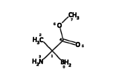 BC(C)(N)C(=O)OC